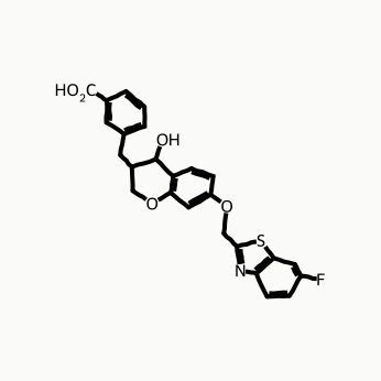 O=C(O)c1cccc(CC2COc3cc(OCc4nc5ccc(F)cc5s4)ccc3C2O)c1